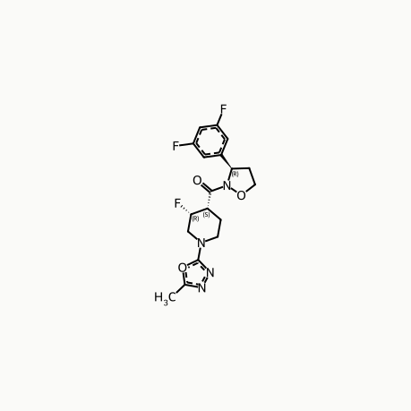 Cc1nnc(N2CC[C@@H](C(=O)N3OCC[C@@H]3c3cc(F)cc(F)c3)[C@@H](F)C2)o1